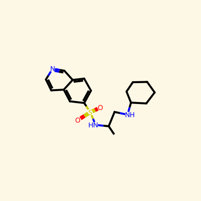 CC(CNC1CCCCC1)NS(=O)(=O)c1ccc2cnccc2c1